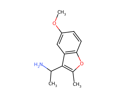 COc1ccc2oc(C)c(C(C)N)c2c1